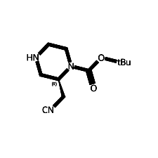 [C-]#[N+]C[C@H]1CNCCN1C(=O)OC(C)(C)C